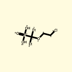 CCC(CC)(OCCCl)P(=O)(O)O